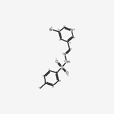 Cc1ccc(S(=O)(=O)N/N=C/c2cncc(Br)c2)cc1